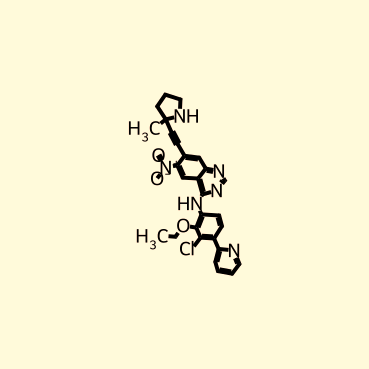 CCOc1c(Nc2ncnc3cc(C#CC4(C)CCCN4)c([N+](=O)[O-])cc23)ccc(-c2ccccn2)c1Cl